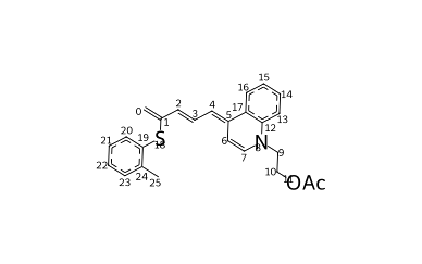 C=C(C=CC=C1C=CN(CCOC(C)=O)c2ccccc21)Sc1ccccc1C